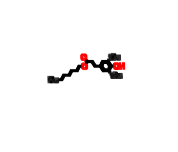 CCC(C)CCCCCCOC(=O)CCc1cc(C(C)(C)C)c(O)c(C(C)(C)C)c1